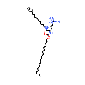 CCCCCCCCCCCCCCCCCCOC(=O)N[C@@H](CCCNC(=N)N)C(=O)NCCCCCCCCCCCC